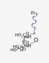 CC/C=C\C/C=C\C/C=C\C/C=C\C/C=C\C/C=C\CCC(=O)N[C@@H](CSSC(C)(C)[C@H](NC(=O)CCCc1ccccc1)C(=O)NC[C@@H](O)CO)C(=O)O